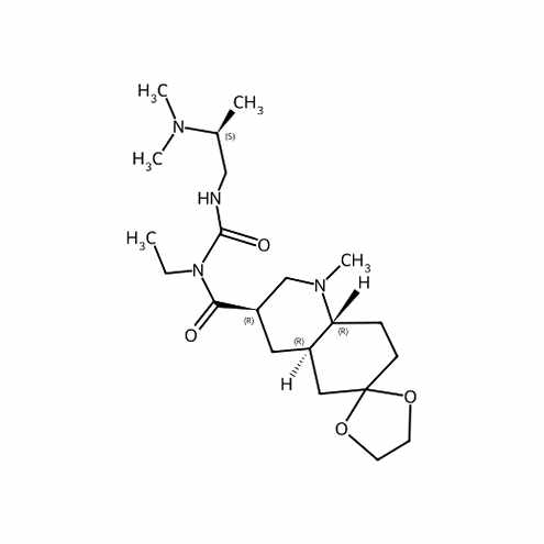 CCN(C(=O)NC[C@H](C)N(C)C)C(=O)[C@@H]1C[C@@H]2CC3(CC[C@H]2N(C)C1)OCCO3